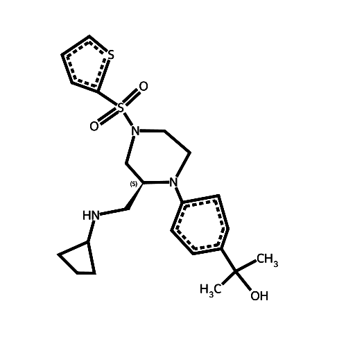 CC(C)(O)c1ccc(N2CCN(S(=O)(=O)c3cccs3)C[C@@H]2CNC2CCC2)cc1